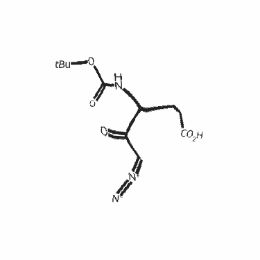 CC(C)(C)OC(=O)NC(CC(=O)O)C(=O)C=[N+]=[N-]